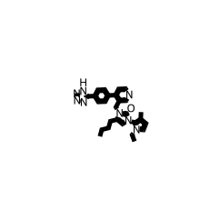 CCCCc1cn(-c2c(C)ccn2CC)c(=O)n1Cc1cnccc1-c1ccc(-c2nnn[nH]2)cc1